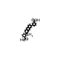 CC1(C2=CCCC(C(=O)O)=C2)C=c2cc3cc(-c4cccc(C(=O)O)c4)ccc3cc2=CC1